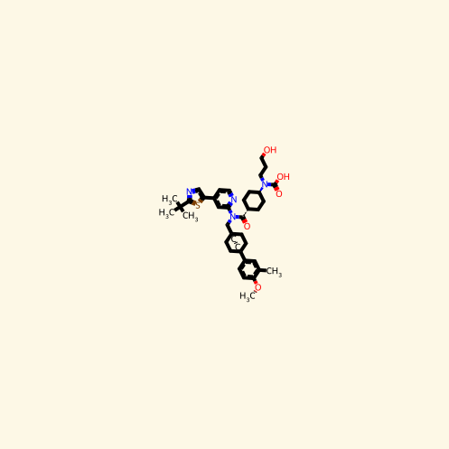 COc1ccc(C23CCC(CN(c4cc(-c5cnc(C(C)(C)C)s5)ccn4)C(=O)[C@H]4CC[C@H](N(CCCO)C(=O)O)CC4)(CC2)CC3)cc1C